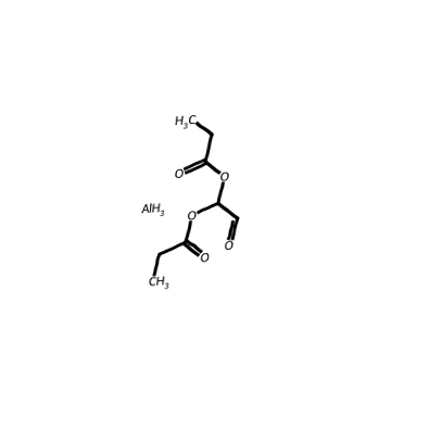 CCC(=O)OC(C=O)OC(=O)CC.[AlH3]